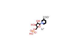 O=C([O-])c1ccc[n+](C2OC(COP(=O)([O-])O)C(O)C2O)c1.[Li+]